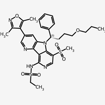 CCCOCCC[C@@H](c1ccccc1)n1c2cc(-c3c(C)noc3C)cnc2c2c(NS(=O)(=O)CC)ncc(S(C)(=O)=O)c21